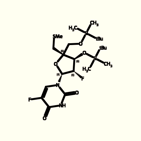 CSC[C@]1(CO[Si](C)(C)C(C)(C)C)O[C@@H](n2cc(F)c(=O)[nH]c2=O)[C@@H](F)[C@@H]1O[Si](C)(C)C(C)(C)C